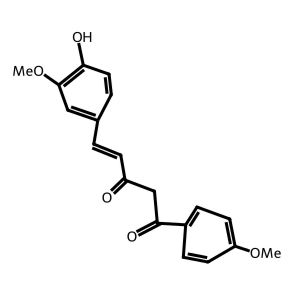 COc1ccc(C(=O)CC(=O)C=Cc2ccc(O)c(OC)c2)cc1